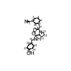 N#Cc1cccc(CC(=O)N2CCCC2C(=O)NCc2ccc(O)cc2)c1